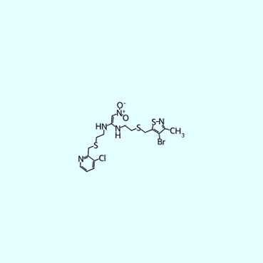 Cc1nsc(CSCCNC(=C[N+](=O)[O-])NCCSCc2ncccc2Cl)c1Br